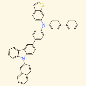 c1ccc(-c2ccc(N(c3ccc(-c4ccc5c(c4)c4ccccc4n5-c4ccc5ccccc5c4)cc3)c3ccc4ccsc4c3)cc2)cc1